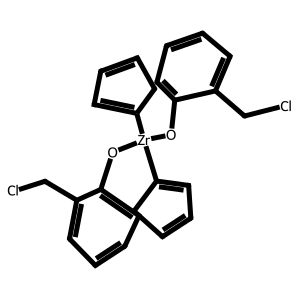 ClCc1ccccc1[O][Zr]([O]c1ccccc1CCl)([C]1=CC=CC1)[C]1=CC=CC1